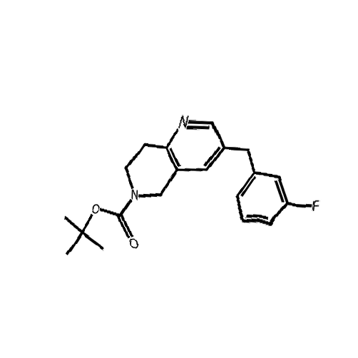 CC(C)(C)OC(=O)N1CCc2ncc(Cc3cccc(F)c3)cc2C1